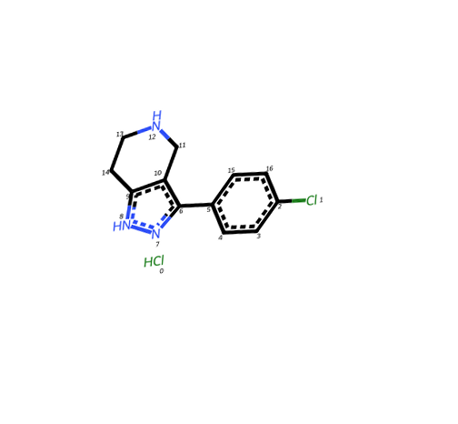 Cl.Clc1ccc(-c2n[nH]c3c2CNCC3)cc1